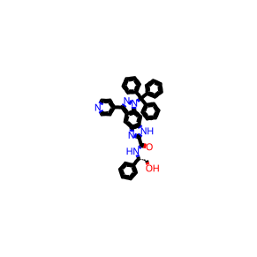 O=C(N[C@H](CO)c1ccccc1)c1nc2cc3c(-c4ccncc4)nn(C(c4ccccc4)(c4ccccc4)c4ccccc4)c3cc2[nH]1